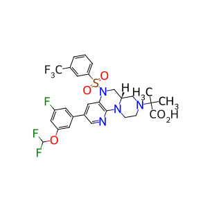 CC(C)(C(=O)O)N1CCN2c3ncc(-c4cc(F)cc(OC(F)F)c4)cc3N(S(=O)(=O)c3cccc(C(F)(F)F)c3)C[C@@H]2C1